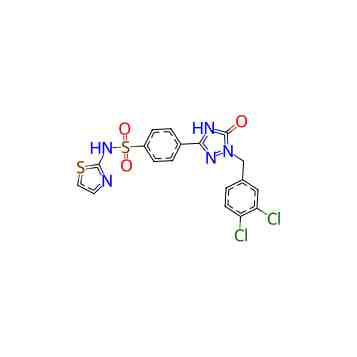 O=c1[nH]c(-c2ccc(S(=O)(=O)Nc3nccs3)cc2)nn1Cc1ccc(Cl)c(Cl)c1